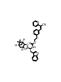 CC1(C)[C@H]2C[C@@H]1C1OB([C@H](Cc3coc4ccccc34)NC(=O)OCCc3cccc(C=C(C#N)c4ccccn4)c3)O[C@@H]1C2